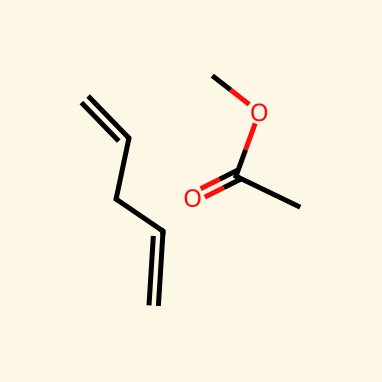 C=CCC=C.COC(C)=O